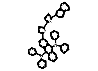 c1ccc(N(c2ccccc2)c2c3ccccc3c(N(c3ccccc3)c3ccccc3)c3cc(-c4ccc(-c5ccc(-c6ccc7ccccc7c6)s5)s4)ccc23)cc1